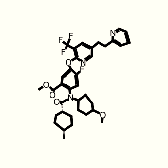 COC(=O)c1cc(Oc2ncc(CCc3ccccn3)cc2C(F)(F)F)c(F)cc1N(C(=O)[C@H]1CC[C@H](C)CC1)C1CCC(OC)CC1